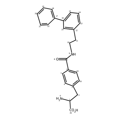 NC(Cc1ccc(C(=O)NCCc2cccc(-c3ccccc3)c2)cc1)C(=O)O